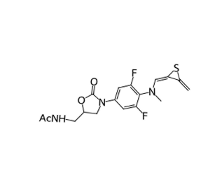 C=C1S/C1=C/N(C)c1c(F)cc(N2CC(CNC(C)=O)OC2=O)cc1F